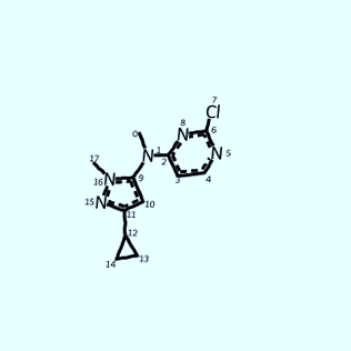 CN(c1ccnc(Cl)n1)c1cc(C2CC2)nn1C